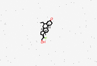 CCC1C[C@@H]2[C@H](CC[C@]3(C)C(=C(F)CO)CC[C@@H]23)[C@@]2(C)CCC(=O)C=C12